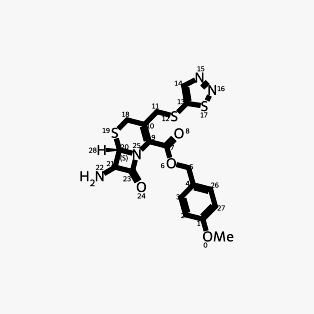 COc1ccc(COC(=O)C2=C(CSc3cnns3)CS[C@H]3C(N)C(=O)N23)cc1